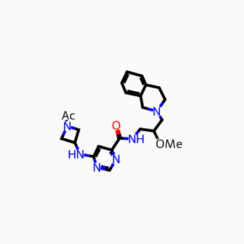 COC(CNC(=O)c1cc(NC2CN(C(C)=O)C2)ncn1)CN1CCc2ccccc2C1